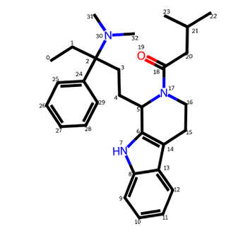 CCC(CCC1c2[nH]c3ccccc3c2CCN1C(=O)CC(C)C)(c1ccccc1)N(C)C